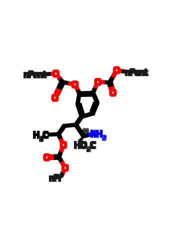 CCCCCOC(=O)Oc1ccc(C(CC(C)OC(=O)OCCC)[C@H](N)C(=O)O)cc1OC(=O)OCCCCC